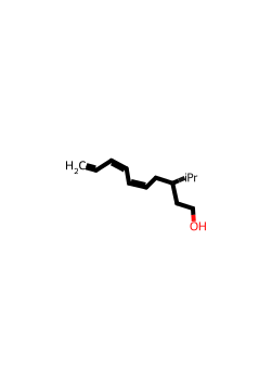 C=C/C=C\C=C/CC(CCO)C(C)C